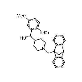 COc1ccc(OC)c(C(O)C2CCN(CC34CC(c5ccccc53)c3ccccc34)CC2)c1